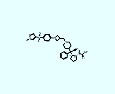 Cn1cc(S(=O)(=O)c2ccc(N3CC(CN4CCC(C(C#N)(c5ccccc5)[C@@H]5CCC[C@H]5NC(=O)O)CC4)C3)cc2)cn1